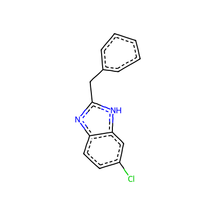 Clc1ccc2nc(Cc3ccccc3)[nH]c2c1